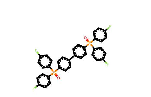 O=P(c1ccc(F)cc1)(c1ccc(F)cc1)c1ccc(-c2ccc(P(=O)(c3ccc(F)cc3)c3ccc(F)cc3)cc2)cc1